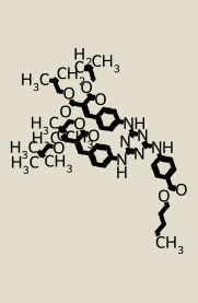 C=C(C)COC(=O)C(=Cc1ccc(Nc2nc(Nc3ccc(C=C(C(=O)OCC(C)(C)C)C(=O)OCC(C)(C)C)cc3)nc(Nc3ccc(C(=O)OCCCCC)cc3)n2)cc1)C(=O)OCC(=C)C